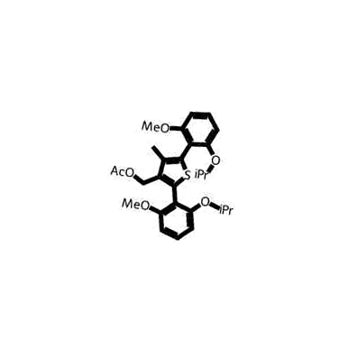 COc1cccc(OC(C)C)c1-c1sc(-c2c(OC)cccc2OC(C)C)c(COC(C)=O)c1C